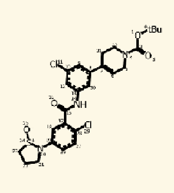 CC(C)(C)OC(=O)N1CC=C(c2cc(Cl)cc(NC(=O)c3cc(N4CCC[S+]4[O-])ccc3Cl)c2)CC1